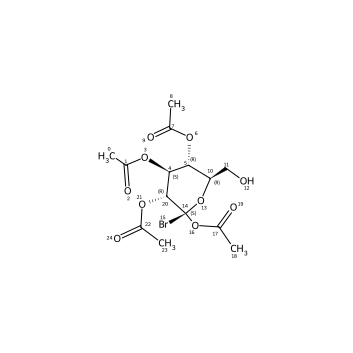 CC(=O)O[C@H]1[C@H](OC(C)=O)[C@@H](CO)O[C@](Br)(OC(C)=O)[C@@H]1OC(C)=O